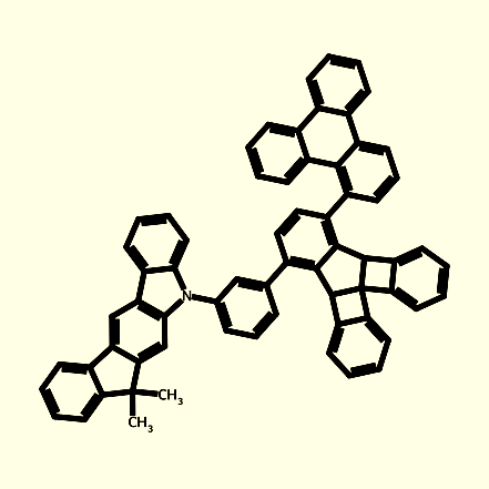 CC1(C)c2ccccc2-c2cc3c4ccccc4n(-c4cccc(-c5ccc(-c6cccc7c8ccccc8c8ccccc8c67)c6c5C5c7ccccc7C57c5ccccc5C67)c4)c3cc21